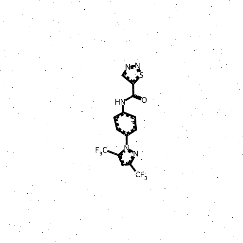 O=C(Nc1ccc(-n2nc(C(F)(F)F)cc2C(F)(F)F)cc1)c1cnns1